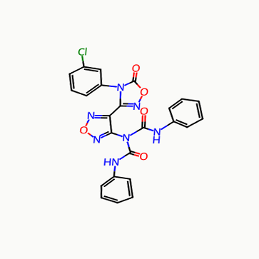 O=C(Nc1ccccc1)N(C(=O)Nc1ccccc1)c1nonc1-c1noc(=O)n1-c1cccc(Cl)c1